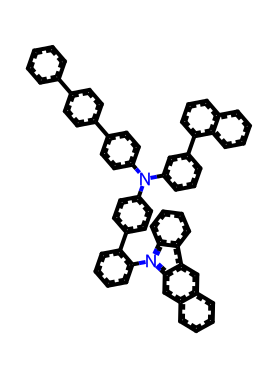 c1ccc(-c2ccc(-c3ccc(N(c4ccc(-c5ccccc5-n5c6ccccc6c6cc7ccccc7cc65)cc4)c4cccc(-c5cccc6ccccc56)c4)cc3)cc2)cc1